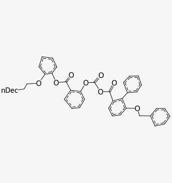 CCCCCCCCCCCCOc1ccccc1OC(=O)c1ccccc1OC(=O)OC(=O)c1cccc(OCc2ccccc2)c1-c1ccccc1